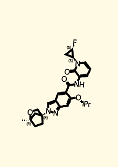 CC(C)Oc1cc2nn([C@]34CC[C@](C)(C3)OC4)cc2cc1C(=O)Nc1cccn([C@H]2C[C@@H]2F)c1=O